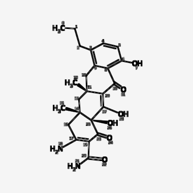 CCCc1ccc(O)c2c1C[C@@]1(C)C[C@@]3(C)CC(N)=C(C(N)=O)C(=O)[C@@]3(O)C(O)=C1C2=O